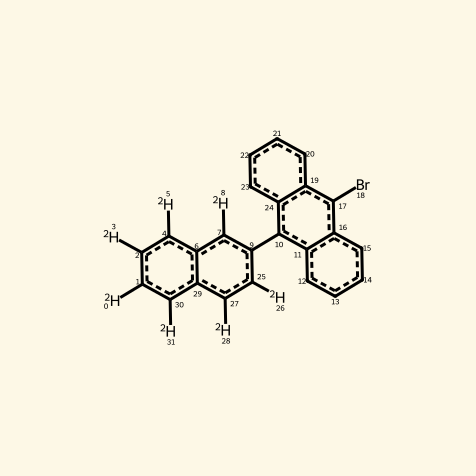 [2H]c1c([2H])c([2H])c2c([2H])c(-c3c4ccccc4c(Br)c4ccccc34)c([2H])c([2H])c2c1[2H]